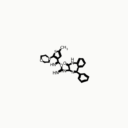 Cc1cc(C(=N)OC(=N)NC2N=C(c3ccccc3)c3ccccc3NC2=O)c(N2CCOCC2)s1